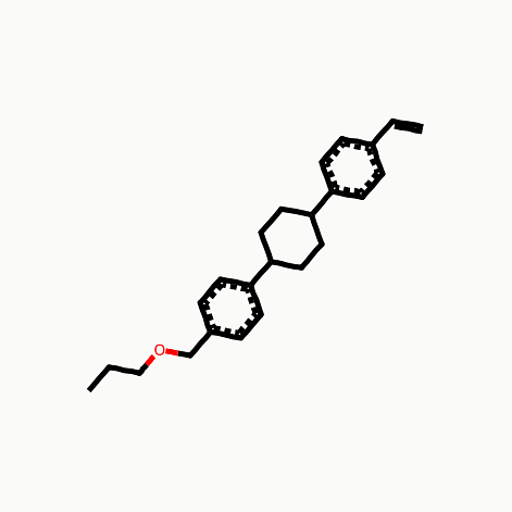 C=Cc1ccc(C2CCC(c3ccc(COCCC)cc3)CC2)cc1